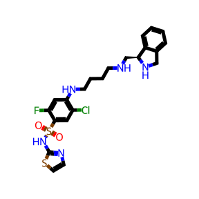 O=S(=O)(Nc1nccs1)c1cc(Cl)c(NCCCCNC[C@@H]2NCc3ccccc32)cc1F